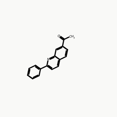 CC(=O)c1ccc2ccc(-c3ccccc3)nc2c1